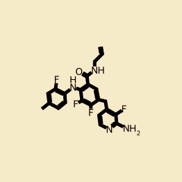 C=CCNC(=O)c1cc(Cc2ccnc(N)c2F)c(F)c(F)c1Nc1ccc(C)cc1F